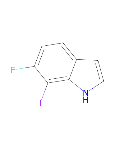 Fc1ccc2cc[nH]c2c1I